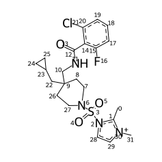 Cc1n(S(=O)(=O)N2CCC(CNC(=O)c3c(F)cccc3Cl)(CC3CC3)CC2)cc[n+]1C